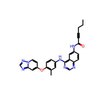 CCCC#CC(=O)Nc1ccc2ncnc(Nc3ccc(Oc4ccn5ncnc5c4)c(C)c3)c2c1